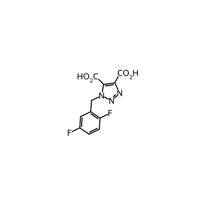 O=C(O)c1nnn(Cc2cc(F)ccc2F)c1C(=O)O